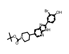 CC(C)(C)OC(=O)N1CCC(c2cnc3[nH]c(-c4ccc(O)c(Br)c4)nc3c2)CC1